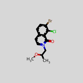 COC(C)Cn1ccc2ccc(Br)c(Cl)c2c1=O